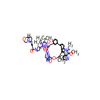 CCn1c(-c2cccnc2[C@H](C)OC)c2c3cc(ccc31)-c1cccc(c1)C[C@H](NC(=O)[C@H](C(C)C)N(C)C(=O)[C@H]1CCN(C(=O)C#C[C@H]3CC[C@@H]4COCCN43)C1)C(=O)N1CCC[C@H](N1)C(=O)OCC(C)(C)C2